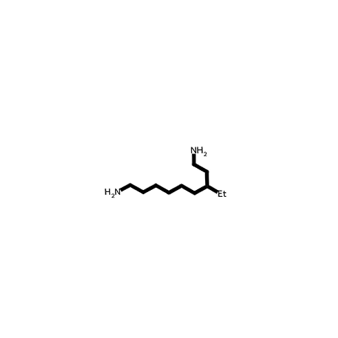 CCC(CCN)CCCCCCN